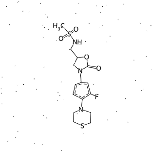 CS(=O)(=O)NCC1CN(c2ccc(N3CCSCC3)c(F)c2)C(=O)O1